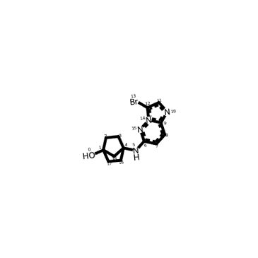 OC12CCC(Nc3ccc4ncc(Br)n4n3)(CC1)C2